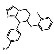 COc1ccc(C2c3nnnn3CCN2Cc2ccccc2F)cc1